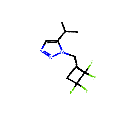 CC(C)c1cnnn1CC1CC(F)(F)C1(F)F